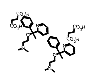 CN(C)CCOC(C)(c1ccccc1)c1ccccn1.CN(C)CCOC(C)(c1ccccc1)c1ccccn1.O=C(O)CCC(=O)O.O=C(O)CCC(=O)O